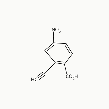 C#Cc1cc([N+](=O)[O-])ccc1C(=O)O